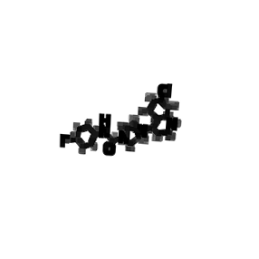 O=C(Nc1ccc(F)cc1)N1CC2CC1CN2c1ccnc2cc(Cl)ccc12